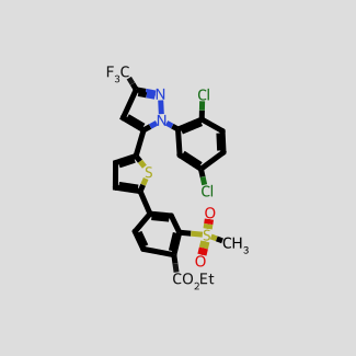 CCOC(=O)c1ccc(-c2ccc(-c3cc(C(F)(F)F)nn3-c3cc(Cl)ccc3Cl)s2)cc1S(C)(=O)=O